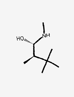 CN[C@@H](O)[C@H](C)C(C)(C)C